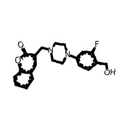 O=c1oc2ccccc2cc1CN1CCN(c2ccc(CO)c(F)c2)CC1